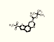 CC(C)(C)OC(=O)N1C=Nc2ccc3cc(S(C)(=O)=O)sc3c2C1